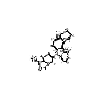 OB(O)C1=CC=C(n2c3ccccc3c3c4c(ccc32)CCC=C4)CC1